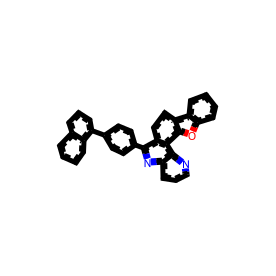 c1ccc2c(-c3ccc(-c4nc5cccnc5c5c4ccc4c6ccccc6oc45)cc3)cccc2c1